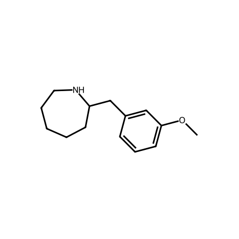 COc1cccc(CC2CCCCCN2)c1